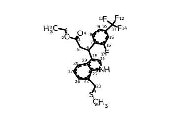 CCOC(=O)CC(c1ccc(C(F)(F)F)cc1F)c1c[nH]c2c(CSC)cccc12